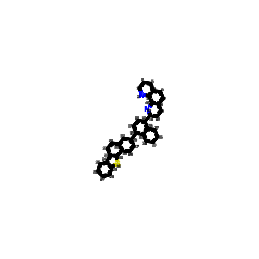 c1cnc2c(c1)ccc1ccc(-c3ccc(-c4ccc5c(ccc6c7ccccc7sc56)c4)c4ccccc34)nc12